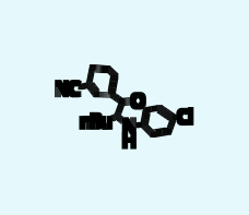 CCCCC(Nc1ccc(Cl)cc1)C(=O)c1cccc(C#N)c1